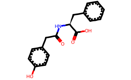 O=C(Cc1ccc(O)cc1)N[C@@H](Cc1ccccc1)C(=O)O